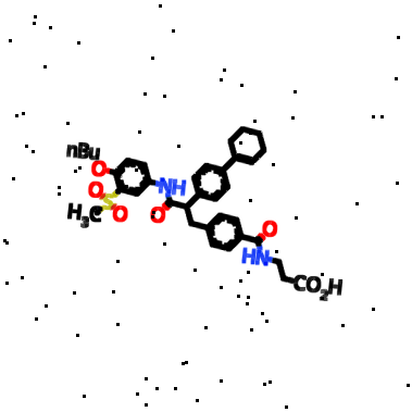 CCCCOc1ccc(NC(=O)C(Cc2ccc(C(=O)NCCC(=O)O)cc2)c2ccc(C3=CCCCC3)cc2)cc1S(C)(=O)=O